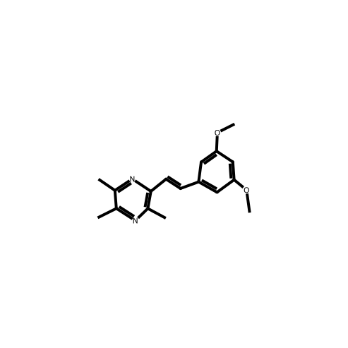 COc1cc(C=Cc2nc(C)c(C)nc2C)cc(OC)c1